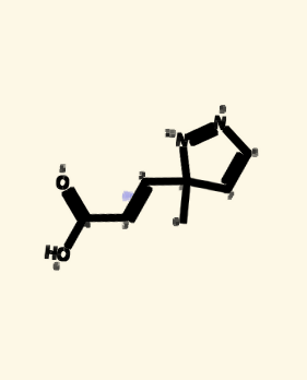 CC1(/C=C/C(=O)O)C=CN=N1